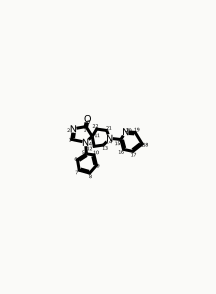 O=C1N=CN(c2ccccc2)C12CCN(c1cc[c]cn1)CC2